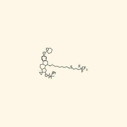 CC(C)C(C)(C)[Si](C)(C)O[C@@H]1CC2C3C(CC[C@]2(C)C12CC2)c1ccc(OC2CCCCO2)cc1C[C@H]3CCCCCCCCCSCCCC(F)(F)C(F)(F)F